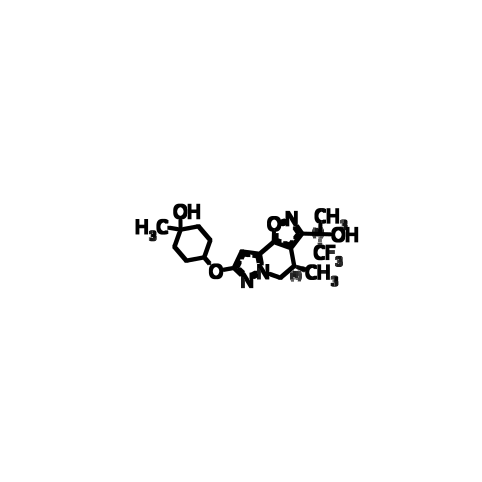 C[C@H]1Cn2nc(OC3CCC(C)(O)CC3)cc2-c2onc([C@@](C)(O)C(F)(F)F)c21